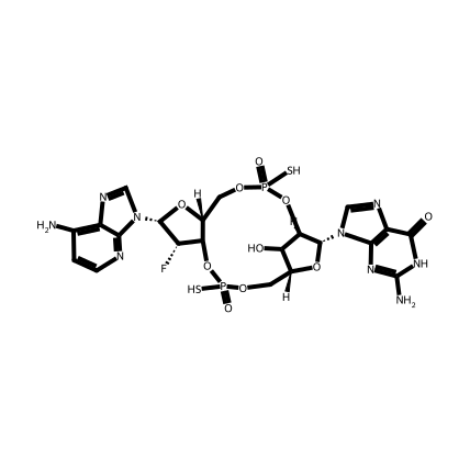 Nc1nc2c(ncn2[C@@H]2O[C@@H]3COP(=O)(S)OC4[C@@H](COP(=O)(S)O[C@H]2C3O)O[C@@H](n2cnc3c(N)ccnc32)[C@H]4F)c(=O)[nH]1